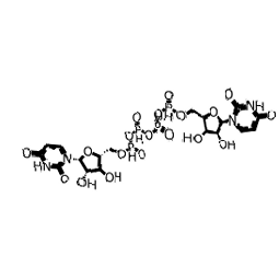 O=c1ccn([C@@H]2O[C@H](CO[PH](=O)O[PH](=O)O[PH](=O)O[PH](=O)OC[C@H]3O[C@@H](n4ccc(=O)[nH]c4=O)[C@@H](O)C3O)C(O)[C@@H]2O)c(=O)[nH]1